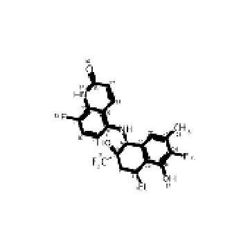 CC[C@H]1C[C@](O)(C(F)(F)F)[C@@H](Nc2ccc(F)c3[nH]c(=O)ccc23)c2cc(C)c(F)c(O)c21